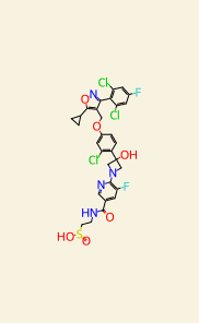 O=C(NCCS(=O)O)c1cnc(N2CC(O)(c3ccc(OCc4c(-c5c(Cl)cc(F)cc5Cl)noc4C4CC4)cc3Cl)C2)c(F)c1